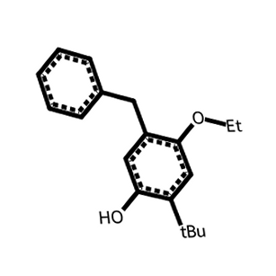 CCOc1cc(C(C)(C)C)c(O)cc1Cc1ccccc1